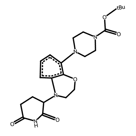 CC(C)(C)OC(=O)N1CCN(c2cccc3c2OCCN3C2CCC(=O)NC2=O)CC1